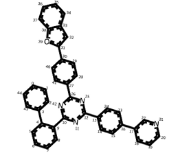 c1ccc(-c2ccccc2-c2nc(-c3ccc(-c4cccnc4)cc3)nc(-c3ccc(-c4cc5ccccc5o4)cc3)n2)cc1